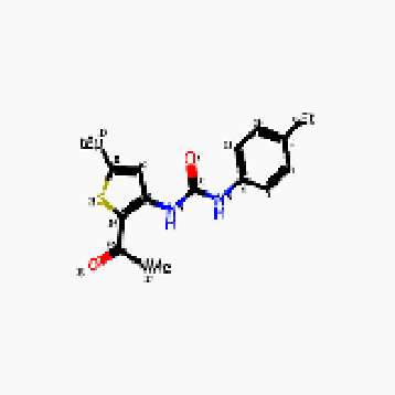 CCc1ccc(NC(=O)Nc2cc(C(C)(C)C)sc2C(=O)NC)cc1